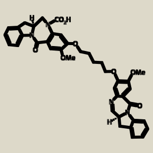 COc1cc2c(cc1OCCCCCOc1cc3c(cc1OC)C(=O)N1c4ccccc4C[C@H]1CN3C(=O)O)N=C[C@@H]1Cc3ccccc3N1C2=O